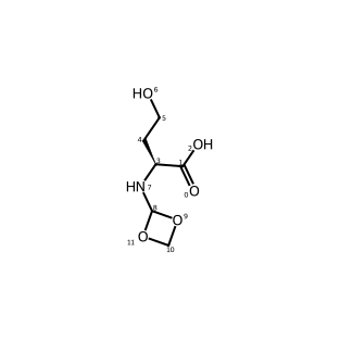 O=C(O)[C@H](CCO)NC1OCO1